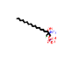 CCCCCCCCCCCCCC=CC(O)C(N)(CF)COP(=O)(O)O